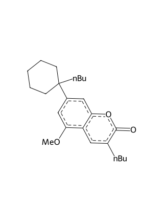 CCCCc1cc2c(OC)cc(C3(CCCC)CCCCC3)cc2oc1=O